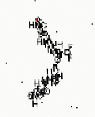 O=C(NC12CC(C1)C2)O[C@@H]1CC[C@H](c2cc(Nc3nccn4c3cc(-c3cc(F)cc(F)c3)[n+]4COCC3CCN3Cc3cn4c(Nc5cc([C@H]6OC[C@@H](OC(=O)NC78CCC7CC8)[C@H]6F)[nH]n5)nccc4n3)n[nH]2)[C@@H]1F